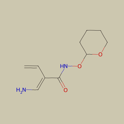 C=C/C(=C\N)C(=O)NOC1CCCCO1